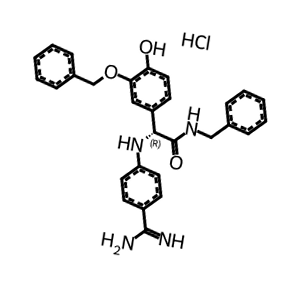 Cl.N=C(N)c1ccc(N[C@@H](C(=O)NCc2ccccc2)c2ccc(O)c(OCc3ccccc3)c2)cc1